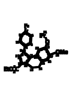 CCOC(=O)c1nn(-c2ccc(F)cc2)c2c1CCc1cc(OC)c(OC(C)C)cc1-2